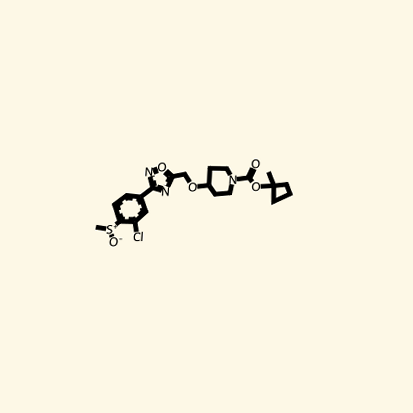 C[S+]([O-])c1ccc(-c2noc(COC3CCN(C(=O)OC4(C)CCC4)CC3)n2)cc1Cl